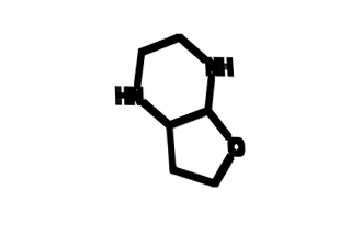 C1CNC2OCCC2N1